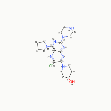 OC1CCN(c2nc3nc(N4CCNCC4)nc(N4CCCC4)c3nc2Cl)CC1